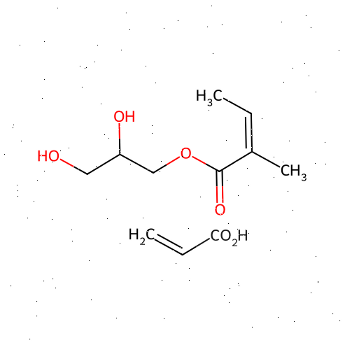 C=CC(=O)O.CC=C(C)C(=O)OCC(O)CO